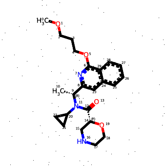 COCCCOc1nc([C@@H](C)N(C(=O)[C@H]2CNCCO2)C2CC2)cc2ccccc12